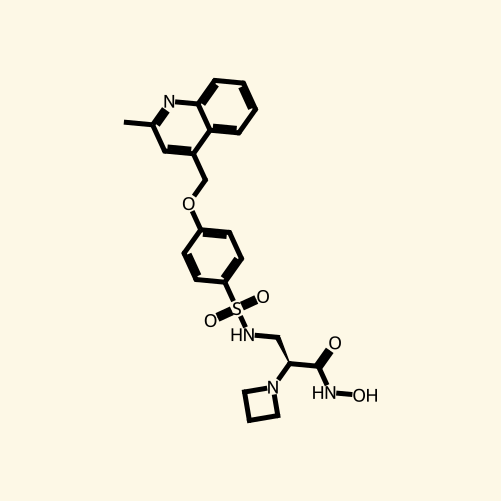 Cc1cc(COc2ccc(S(=O)(=O)NC[C@@H](C(=O)NO)N3CCC3)cc2)c2ccccc2n1